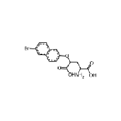 NC(CC(Oc1ccc2cc(Br)ccc2c1)C(=O)O)C(=O)O